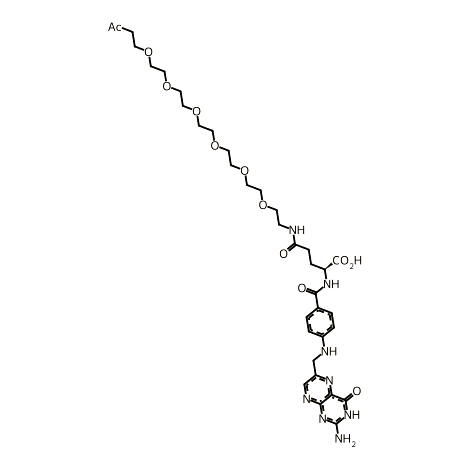 CC(=O)CCOCCOCCOCCOCCOCCOCCNC(=O)CC[C@H](NC(=O)c1ccc(NCc2cnc3nc(N)[nH]c(=O)c3n2)cc1)C(=O)O